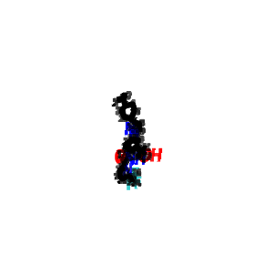 CC(C)C1CCC(c2ccn(-c3ccc(NC(=O)c4cccc(C(F)(F)F)n4)c(C(C)(C)O)c3)n2)CC1